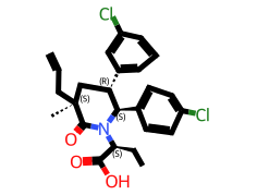 C=CC[C@@]1(C)C[C@H](c2cccc(Cl)c2)[C@@H](c2ccc(Cl)cc2)N([C@@H](CC)C(=O)O)C1=O